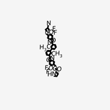 Cc1c(-c2nc3cc(COC(=O)[C@@H]4CCCN4)c(OC(F)F)cc3o2)cccc1-c1cccc(-c2nc3cc(CN4CC(C#N)C4)c(OC(F)F)cc3o2)c1C